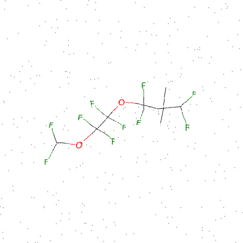 CC(C)(C(F)F)C(F)(F)OC(F)(F)C(F)(F)OC(F)F